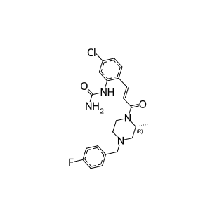 C[C@@H]1CN(Cc2ccc(F)cc2)CCN1C(=O)C=Cc1ccc(Cl)cc1NC(N)=O